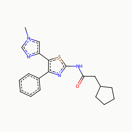 Cn1cnc(-c2sc(NC(=O)CC3CCCC3)nc2-c2ccccc2)c1